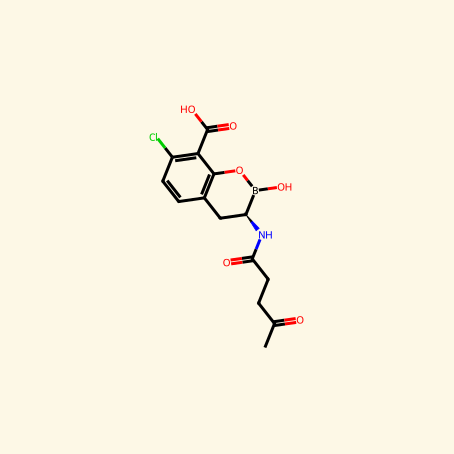 CC(=O)CCC(=O)N[C@H]1Cc2ccc(Cl)c(C(=O)O)c2OB1O